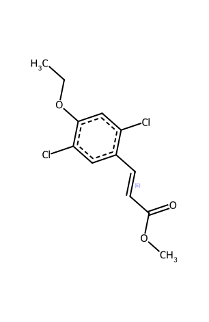 CCOc1cc(Cl)c(/C=C/C(=O)OC)cc1Cl